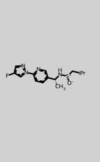 CC(C)C[S+]([O-])N[C@H](C)c1ccc(-n2cc(F)cn2)nc1